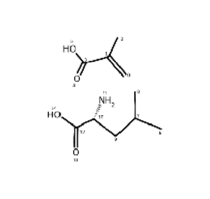 C=C(C)C(=O)O.CC(C)C[C@@H](N)C(=O)O